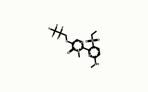 CCS(=O)(=O)c1ccc(NC)nc1-c1ncc(OCC(F)(F)C(F)(F)F)c(=O)n1C